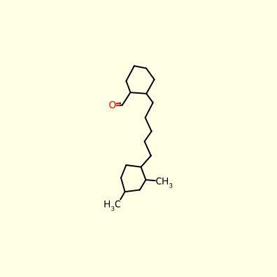 CC1CCC(CCCCCC2CCCCC2C=O)C(C)C1